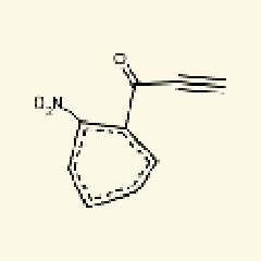 C#CC(=O)c1ccccc1[N+](=O)[O-]